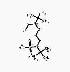 CC(C)(C)[C@H](CF)OCCN(C(C)(C)C)S(C)(=O)=O